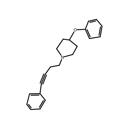 C(#Cc1ccccc1)CCN1CCC(Oc2ccccc2)CC1